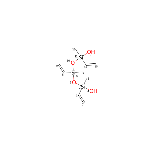 C=C[Si](C)(O)O[Si](C)(C=C)O[Si](C)(O)C=C